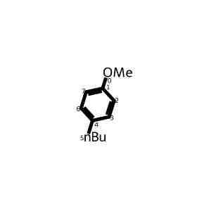 [CH2]Oc1ccc(CCCC)cc1